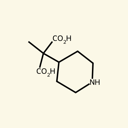 CC(C(=O)O)(C(=O)O)C1CCNCC1